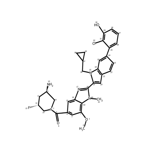 COc1cc(C(=O)N2C[C@H](N)C[C@@H](F)C2)cc2nc(-c3cc4ccc(-c5cccc(O)c5Cl)cc4n3CC3CC3)n(C)c12